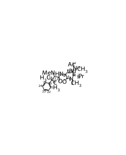 CNC(C(=O)N[C@H](C(=O)N(C)[C@H](CN(C)C(C)=O)C(C)C)C(C)(C)C)C(C)(C)c1ccccc1